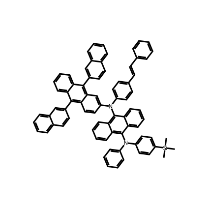 C[Si](C)(C)c1ccc(N(c2ccccc2)c2c3ccccc3c(N(c3ccc(/C=C/c4ccccc4)cc3)c3ccc4c(-c5ccc6ccccc6c5)c5ccccc5c(-c5ccc6ccccc6c5)c4c3)c3ccccc23)cc1